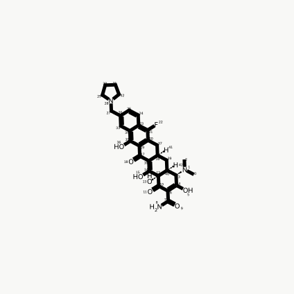 CN(C)[C@@H]1C(O)=C(C(N)=O)C(=O)[C@@]2(O)C(O)=C3C(=O)c4c(c(F)c5ccc(CN6CCCC6)cc5c4O)C[C@H]3C[C@@H]12